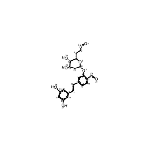 O=NCC[C@H]1O[C@@H](Oc2cc(/C=C/c3cc(O)cc(O)c3)ccc2N=O)C[C@@H](O)[C@@H]1O